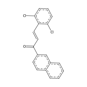 O=C(C=Cc1c(Cl)cccc1Cl)c1ccc2ccccc2c1